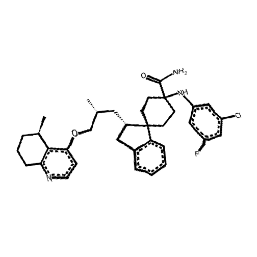 C[C@@H](COc1ccnc2c1[C@H](C)CCC2)C[C@H]1Cc2ccccc2C12CCC(Nc1cc(F)cc(Cl)c1)(C(N)=O)CC2